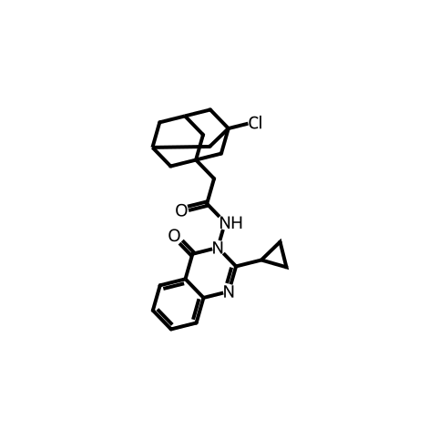 O=C(CC12CC3CC(CC(Cl)(C3)C1)C2)Nn1c(C2CC2)nc2ccccc2c1=O